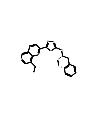 CCc1cncc2ccc(-c3nnc(N[C@@H](CN)Cc4ccccc4)s3)nc12